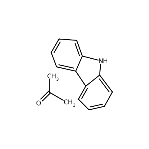 CC(C)=O.c1ccc2c(c1)[nH]c1ccccc12